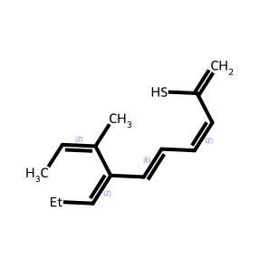 C=C(S)\C=C/C=C/C(=C/CC)C(/C)=C\C